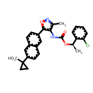 Cc1noc(-c2ccc3cc(C4(C(=O)O)CC4)ccc3c2)c1NC(=O)O[C@H](C)c1ccccc1Cl